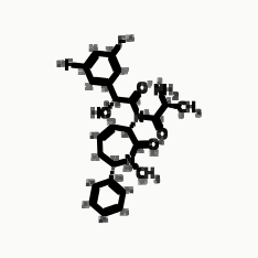 C[C@H](N)C(=O)N(C(=O)[C@H](O)c1cc(F)cc(F)c1)[C@H]1C=CC[C@@H](c2ccccc2)N(C)C1=O